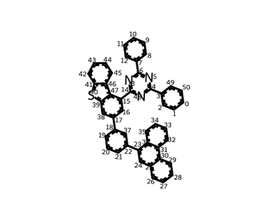 c1ccc(-c2nc(-c3ccccc3)nc(-c3cc(-c4cccc(-c5cc6ccccc6c6ccccc56)c4)cc4sc5ccccc5c34)n2)cc1